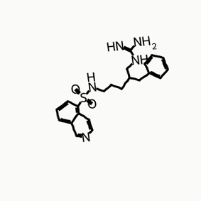 N=C(N)NCC(CCCNS(=O)(=O)c1cccc2cnccc12)Cc1ccccc1